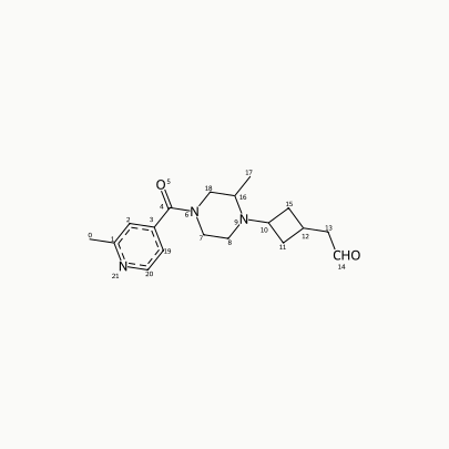 Cc1cc(C(=O)N2CCN(C3CC(CC=O)C3)C(C)C2)ccn1